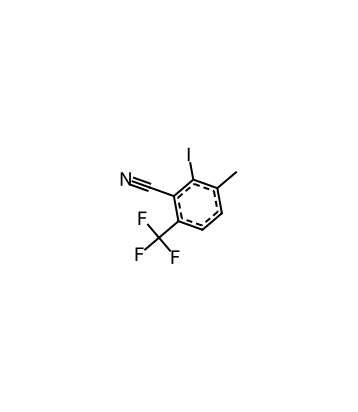 Cc1ccc(C(F)(F)F)c(C#N)c1I